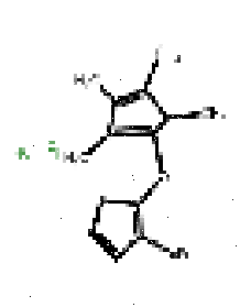 CCCC1=[C]([Zr][C]2=C(C)C(C)=C(C)C2C)CC=C1.Cl.Cl